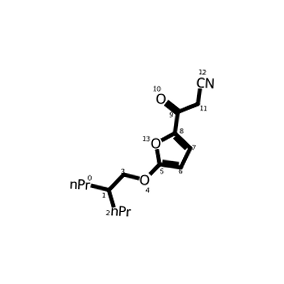 CCCC(CCC)COc1ccc(C(=O)CC#N)o1